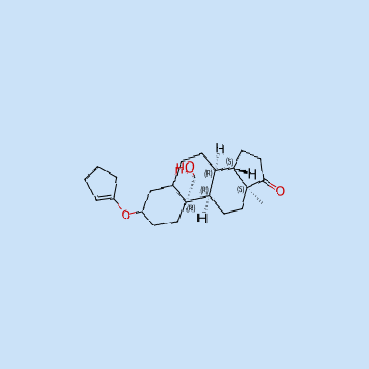 C[C@]12CC[C@@H]3[C@@H](CCC4CC(OC5=CCCC5)CC[C@@]43CO)[C@@H]1CCC2=O